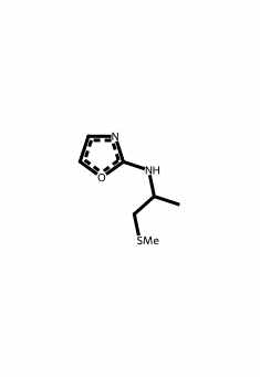 CSCC(C)Nc1ncco1